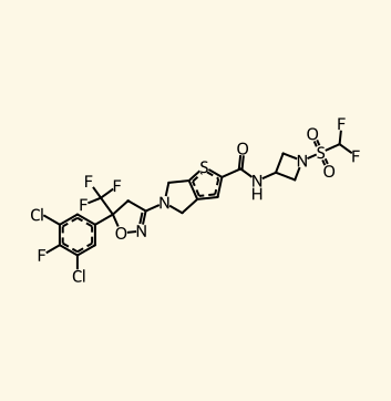 O=C(NC1CN(S(=O)(=O)C(F)F)C1)c1cc2c(s1)CN(C1=NOC(c3cc(Cl)c(F)c(Cl)c3)(C(F)(F)F)C1)C2